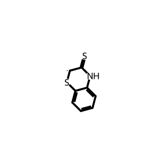 S=C1[CH]Sc2ccccc2N1